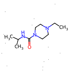 CCN1CCN(C(=O)NC(C)C)CC1